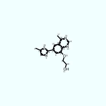 Cc1cnc(-c2cc(OCCO)c3ncnc(C)c3c2)s1